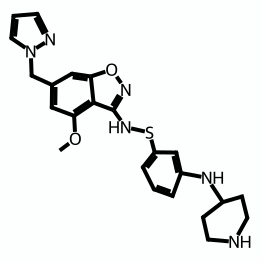 COc1cc(Cn2cccn2)cc2onc(NSc3cccc(NC4CCNCC4)c3)c12